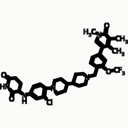 Cc1c(-c2ccc(CN3CCC(C4CCN(c5ccc(NC6CCC(=O)NC6=O)cc5Cl)CC4)CC3)c(OC(F)(F)F)c2)cn(C)c(=O)c1C